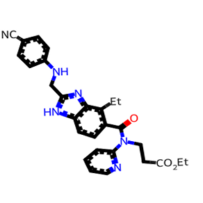 CCOC(=O)CCN(C(=O)c1ccc2[nH]c(CNc3ccc(C#N)cc3)nc2c1CC)c1ccccn1